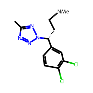 CNCC[C@H](c1ccc(Cl)c(Cl)c1)n1nnc(C)n1